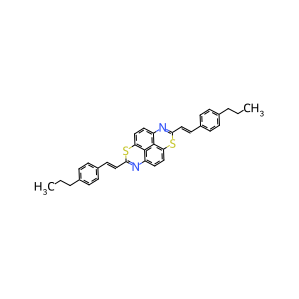 CCCc1ccc(/C=C/C2=Nc3ccc4c5c(ccc(c35)S2)N=C(/C=C/c2ccc(CCC)cc2)S4)cc1